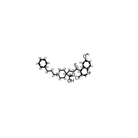 COc1ccc2ncc(Cl)c(C(F)CCC3(C(=O)O)CCN(CCCc4ccccc4)CC3)c2c1